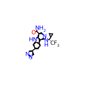 Cn1cc(-c2ccc3c(c2)[nH]c2c(C(N)=O)cnc(N[C@H](C4CC4)C(F)(F)F)c23)cn1